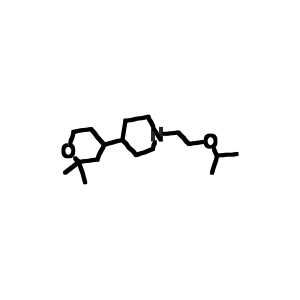 CC(C)OCCN1CCC(C2CCOC(C)(C)C2)CC1